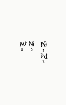 [Au].[Ni].[Ni].[Pd]